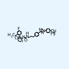 CC(C)c1cc(F)ccc1N1CCCS/C1=N\C(=O)NCCCc1ccc(-c2ncn(-c3ccc(OC(F)(F)F)cc3)n2)cc1